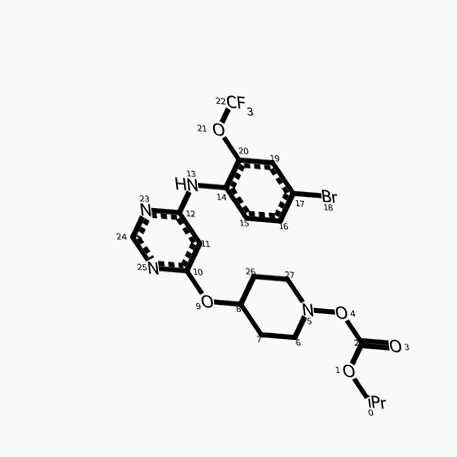 CC(C)OC(=O)ON1CCC(Oc2cc(Nc3ccc(Br)cc3OC(F)(F)F)ncn2)CC1